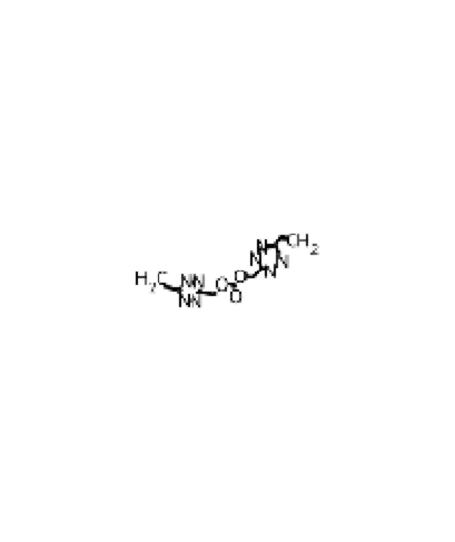 C=Cc1nnc(COC(=O)OCc2nnc(C=C)nn2)nn1